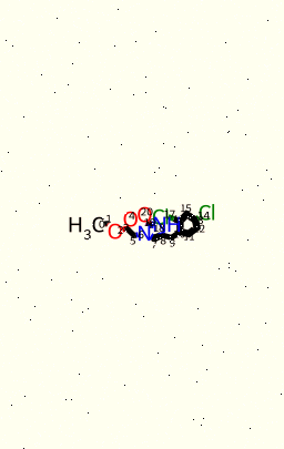 CCOC(=O)Cn1cc(Cc2ccc(Cl)cc2Cl)[nH]c1=O